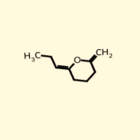 C=C1CCCC(=CCC)O1